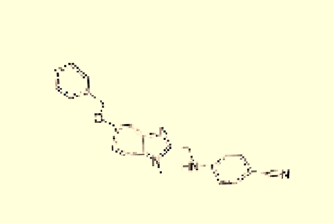 Cn1c(CNc2ccc(C#N)cc2)nc2cc(OCc3ccccc3)ccc21